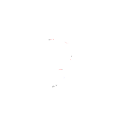 C#CC[N+](C)(C)CC(=O)OC1OC[C@@H](OC(C)=O)[C@@H](OC(C)=O)[C@H]1OC(C)=O